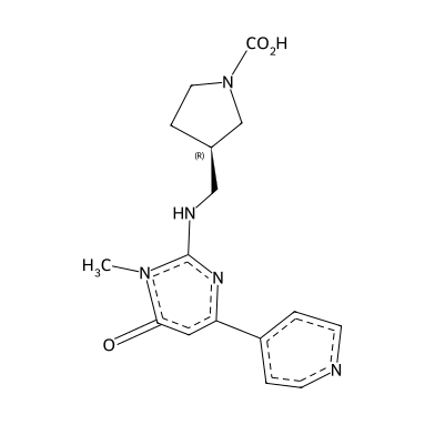 Cn1c(NC[C@H]2CCN(C(=O)O)C2)nc(-c2ccncc2)cc1=O